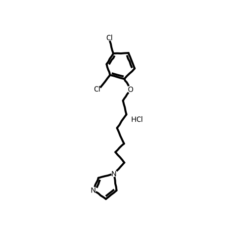 Cl.Clc1ccc(OCCCCCCn2ccnc2)c(Cl)c1